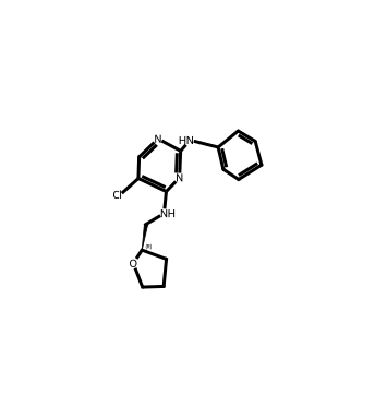 Clc1cnc(Nc2ccccc2)nc1NC[C@H]1CCCO1